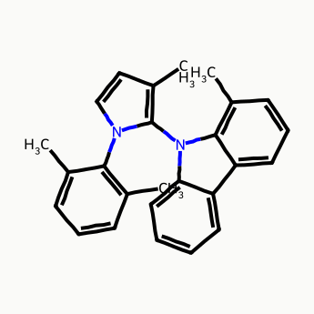 Cc1cccc(C)c1-n1ccc(C)c1-n1c2ccccc2c2cccc(C)c21